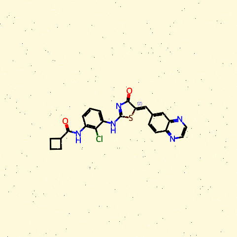 O=C1N=C(Nc2cccc(NC(=O)C3CCC3)c2Cl)S/C1=C\c1ccc2nccnc2c1